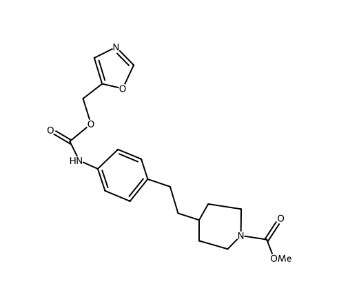 COC(=O)N1CCC(CCc2ccc(NC(=O)OCc3cnco3)cc2)CC1